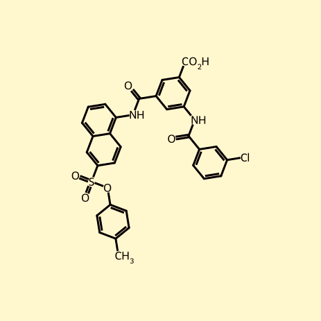 Cc1ccc(OS(=O)(=O)c2ccc3c(NC(=O)c4cc(NC(=O)c5cccc(Cl)c5)cc(C(=O)O)c4)cccc3c2)cc1